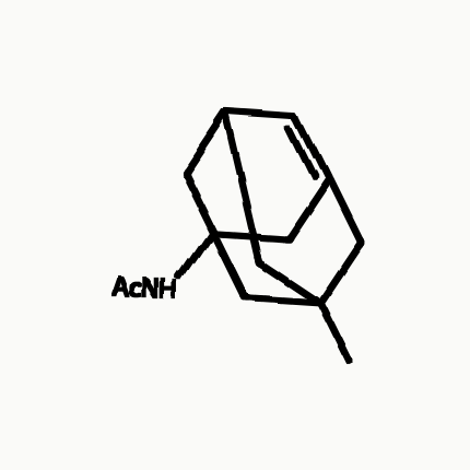 CC(=O)NC12CC3=CC(CC(C)(C3)C1)C2